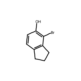 Oc1ccc2c(c1Br)CCC2